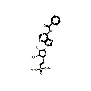 COP(=O)(/C=C/[C@H]1O[C@@H](n2cnc3c(NC(=O)c4ccccc4)ncnc32)[C@@H](F)[C@@H]1C)OC